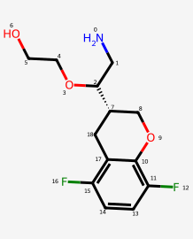 NCC(OCCO)[C@@H]1COc2c(F)ccc(F)c2C1